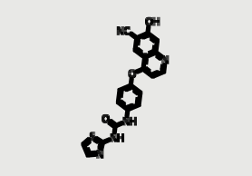 N#Cc1cc2c(Oc3ccc(NC(=O)Nc4nccs4)cc3)ccnc2cc1O